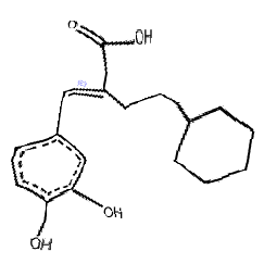 O=C(O)/C(=C/c1ccc(O)c(O)c1)CCC1CCCCC1